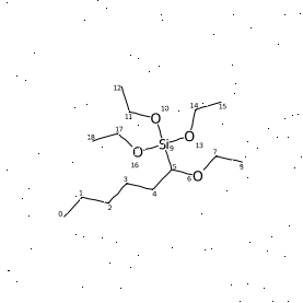 CCCCCC(OCC)[Si](OCC)(OCC)OCC